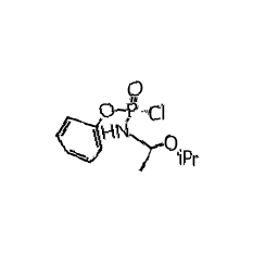 CC(C)O[C@@H](C)N[P@@](=O)(Cl)Oc1ccccc1